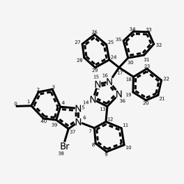 Cc1ccc2nn(-c3ccccc3-c3nnn(C(c4ccccc4)(c4ccccc4)c4ccccc4)n3)c(Br)c2c1